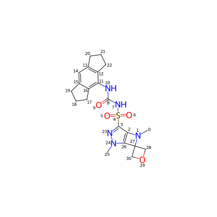 CN1c2c(S(=O)(=O)NC(=O)Nc3c4c(cc5c3CCC5)CCC4)nn(C)c2C12COC2